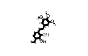 CCc1ccc(C=Cc2cc(OC)c(OC)c(OC)c2)c(O)c1O